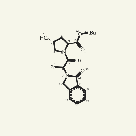 CC(C)C(C(=O)N1C[C@H](O)C[C@H]1C(=O)OC(C)(C)C)N1Cc2ccccc2C1=O